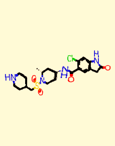 C[C@@H]1C[C@H](NC(=O)c2cc3c(cc2Cl)NC(=O)C3)CCN1S(=O)(=O)CC1CCNCC1